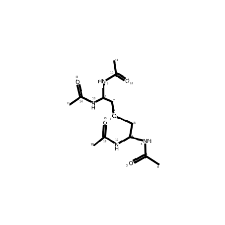 CC(=O)NC(COCC(NC(C)=O)NC(C)=O)NC(C)=O